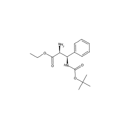 CCOC(=O)[C@@H](N)[C@H](NC(=O)OC(C)(C)C)c1ccccc1